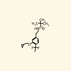 CC(C)(C)[S@+]([O-])NCCc1ccc(C(F)(F)F)c(OCC2CC2)c1